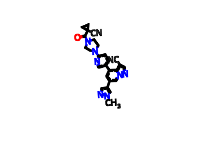 Cn1cc(-c2cc(-c3ccc(N4CCN(C(=O)C5(C#N)CC5)CC4)nc3)c3c(C#N)cnn3c2)cn1